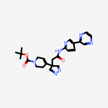 CC(C)(C)OC(=O)N1CC=C(C2(CC(=O)Nc3ccc(-c4cnccn4)cn3)C=NN=C2)CC1